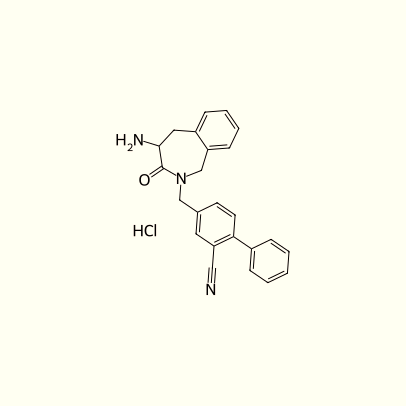 Cl.N#Cc1cc(CN2Cc3ccccc3CC(N)C2=O)ccc1-c1ccccc1